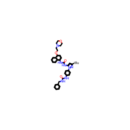 CC(C)(C)c1cc(NC(=O)Nc2ccc(OCCN3CCOCC3)c3ccccc23)n(-c2ccc(NC(=O)NCc3ccccc3)cc2)n1